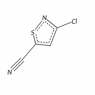 N#Cc1cc(Cl)ns1